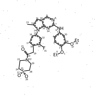 CCOc1ccc(Nc2ncc3cc(C)n(-c4ccc(CC(=O)N5CCS(=O)(=O)CC5)c(F)c4)c3n2)cc1OCC